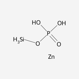 O=P(O)(O)O[SiH3].[Zn]